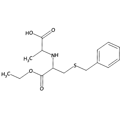 CCOC(=O)C(CSCc1ccccc1)NC(C)C(=O)O